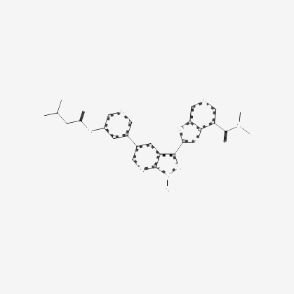 CC(C)CC(=O)Nc1cncc(-c2cnc3c(c2)c(-c2nc4c(C(=O)N(C)C)cncc4[nH]2)nn3N)c1